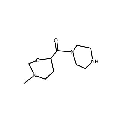 CN1CCC(C(=O)N2CCNCC2)CC1